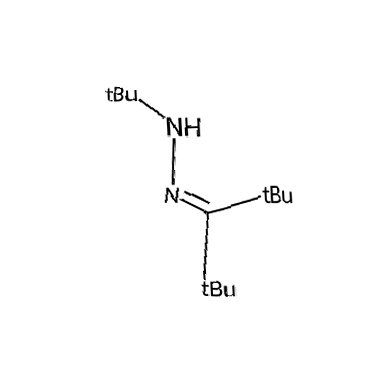 CC(C)(C)NN=C(C(C)(C)C)C(C)(C)C